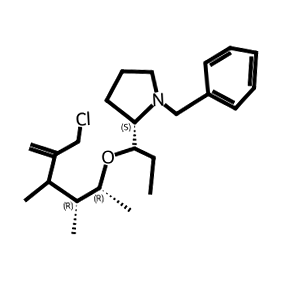 C=C(CCl)C(C)[C@@H](C)[C@@H](C)OC(CC)[C@@H]1CCCN1Cc1ccccc1